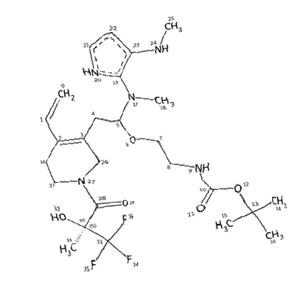 C=CC1=C(CC(OCCNC(=O)OC(C)(C)C)N(C)c2[nH]ccc2NC)CN(C(=O)[C@](C)(O)C(F)(F)F)CC1